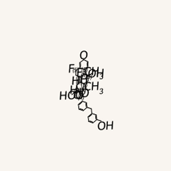 C[C@]12C=CC(=O)C=C1[C@@H](F)C[C@H]1[C@@H]3C[C@H]4O[C@@H](c5cccc(Cc6cccc(CO)c6)c5)O[C@@]4(C(=O)CO)[C@@]3(C)C[C@H](O)[C@@]12F